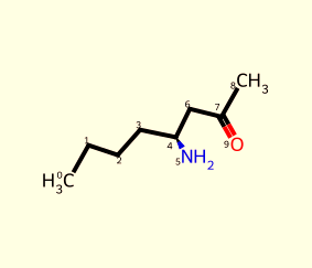 CCCC[C@H](N)CC(C)=O